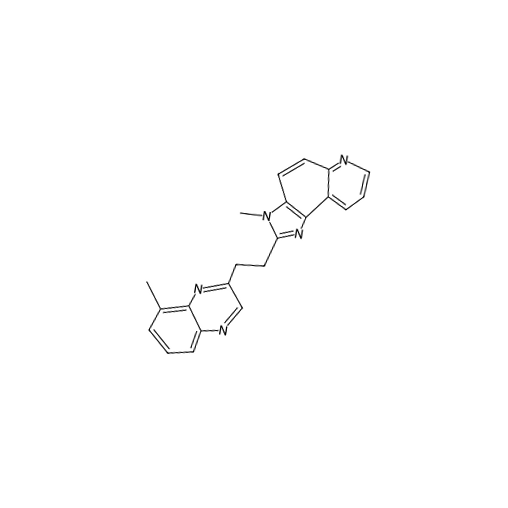 Cc1cccc2ncc(CCc3nc4c5cccnc5ccc4n3C)nc12